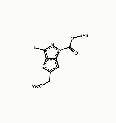 COCc1cc2c(s1)c(I)nn2C(=O)OC(C)(C)C